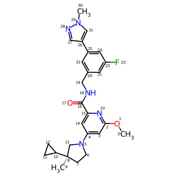 COc1cc(N2CC[C@@](C)(C3CC3)C2)cc(C(=O)NCc2cc(F)cc(-c3cnn(C)c3)c2)n1